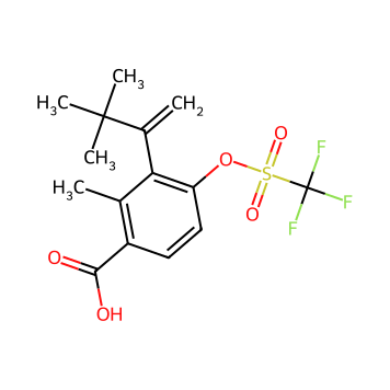 C=C(c1c(OS(=O)(=O)C(F)(F)F)ccc(C(=O)O)c1C)C(C)(C)C